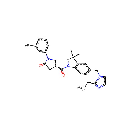 CC1(C)CN(C(=O)[C@H]2CC(=O)N(c3cccc(C#N)c3)C2)c2ccc(Cn3ccnc3CC(=O)O)cc21